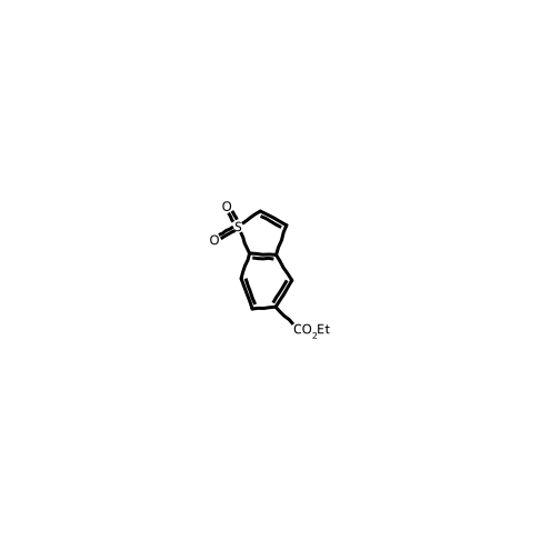 CCOC(=O)c1ccc2c(c1)C=CS2(=O)=O